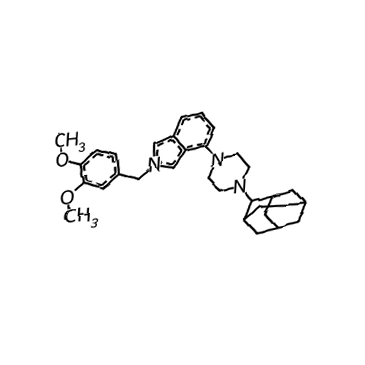 COc1ccc(Cn2cc3cccc(N4CCN(C5C6CC7CC(C6)CC5C7)CC4)c3c2)cc1OC